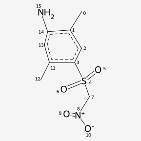 Cc1cc(S(=O)(=O)C[N+](=O)[O-])c(C)cc1N